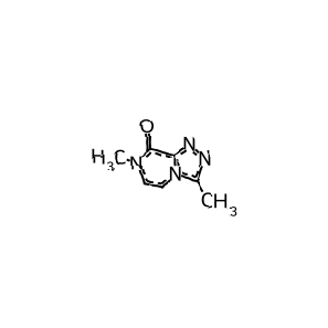 Cc1nnc2c(=O)n(C)ccn12